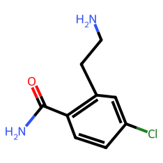 NCCc1cc(Cl)ccc1C(N)=O